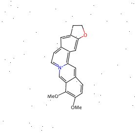 COc1ccc2cc3c4cc5c(cc4cc[n+]3cc2c1OC)CCO5